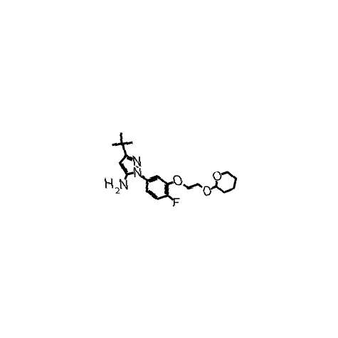 CC(C)(C)c1cc(N)n(-c2ccc(F)c(OCCOC3CCCCO3)c2)n1